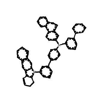 C1=Cc2c(n(-c3cccc(-c4ccc(N(c5cccc(-c6ccccc6)c5)c5ccc6c(ccc7ccccc76)c5)cc4)c3)c3cc4ccccc4cc23)CC1